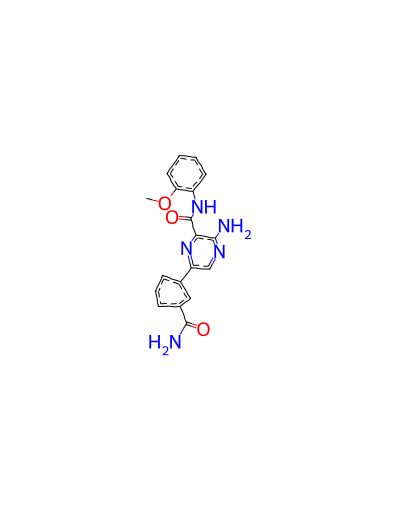 COc1ccccc1NC(=O)c1nc(-c2cccc(C(N)=O)c2)cnc1N